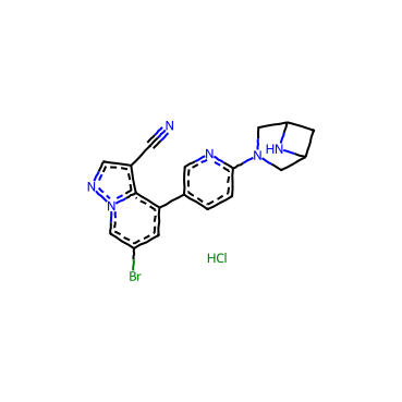 Cl.N#Cc1cnn2cc(Br)cc(-c3ccc(N4CC5CC(C4)N5)nc3)c12